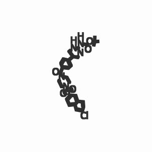 CC(C)(C)OC(=O)NC1=NCC(c2ccc(C(=O)N3CCN(S(=O)(=O)c4ccc5cc(Cl)ccc5c4)CC3)cc2)CN1